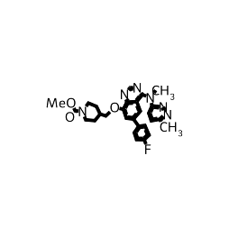 COC(=O)N1CCC(COc2cc(-c3ccc(F)cc3)cc3c(N(C)c4ccc(C)nn4)ncnc23)CC1